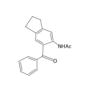 CC(=O)Nc1cc2c(cc1C(=O)c1ccccc1)CCC2